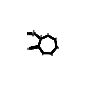 O=C1CCCCCN1S(=O)(=O)O